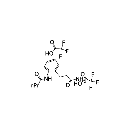 CCCC(=O)Nc1ccccc1CCC(N)=O.O=C(O)C(F)(F)F.O=C(O)C(F)(F)F